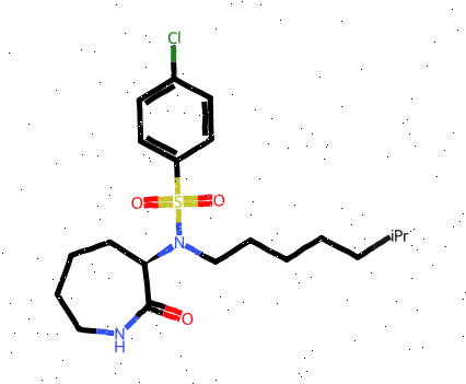 CC(C)CCCCCN([C@@H]1CCCCNC1=O)S(=O)(=O)c1ccc(Cl)cc1